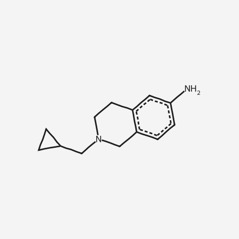 Nc1ccc2c(c1)CCN(CC1CC1)C2